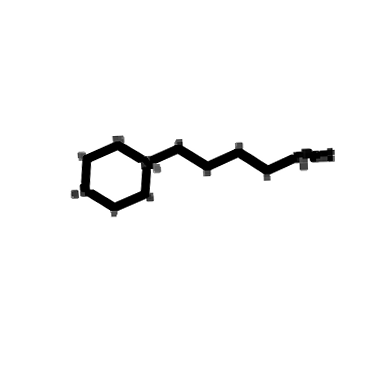 CCCCCCCCCN1CCSCC1